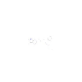 CC(C)(C)OC(=O)N[C@@H]1c2ccc(F)cc2CC12CCN(c1cnc3c(I)nn(C4CCCCO4)c3n1)CC2